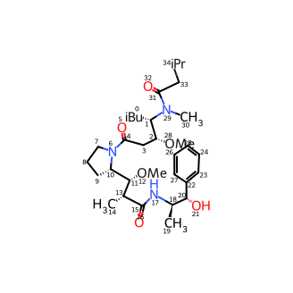 CCC(C)[C@@H]([C@@H](CC(=O)N1CCC[C@H]1[C@H](OC)[C@@H](C)C(=O)N[C@H](C)[C@@H](O)c1ccccc1)OC)N(C)C(=O)CC(C)C